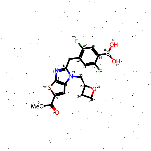 COC(=O)c1cc2c(nc(Cc3cc(F)c(B(O)O)cc3F)n2C[C@@H]2CCO2)s1